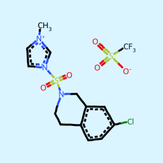 C[n+]1ccn(S(=O)(=O)N2CCc3ccc(Cl)cc3C2)c1.O=S(=O)([O-])C(F)(F)F